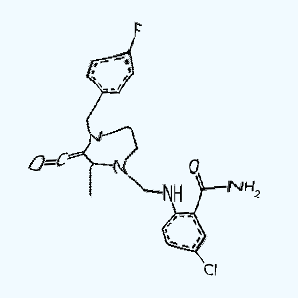 CC1C(=C=O)N(Cc2ccc(F)cc2)CCN1CNc1ccc(Cl)cc1C(N)=O